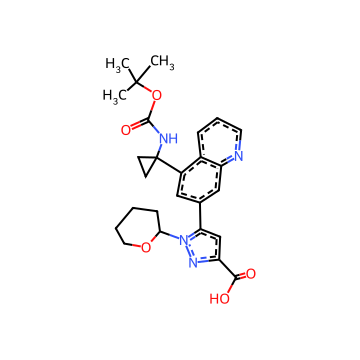 CC(C)(C)OC(=O)NC1(c2cc(-c3cc(C(=O)O)nn3C3CCCCO3)cc3ncccc23)CC1